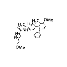 C=C(/C=C/CC(C)c1c(-c2ccccc2)ccc(OC)c1C)NC(=O)c1cn(CCOC)nn1